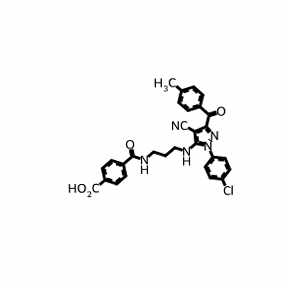 Cc1ccc(C(=O)c2nn(-c3ccc(Cl)cc3)c(NCCCNC(=O)c3ccc(C(=O)O)cc3)c2C#N)cc1